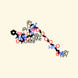 CCCN(CCC)C(=O)CCC(=O)NCCOCCOCCOCCOCC(=O)N(C)C(C(=O)N[C@H](C(=O)N(C)[C@@H](C(C)CC)[C@@H](CC(=O)N1CCCC1[C@H](OC)[C@@H](C)C(=O)N[C@@H](C)[C@H](O)c1ccccc1)OC)C(C)C)C(C)C